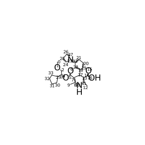 COCC(OC(=O)C1=C(C)NC(C)=C(C(=O)O)C1c1cccc(-n2cccc2)c1)C1CCCC1